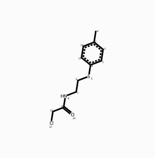 Cc1ccc(SCCNC(=O)CCl)cc1